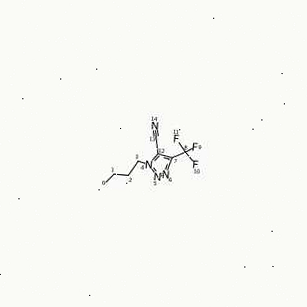 CCCCn1nnc(C(F)(F)F)c1C#N